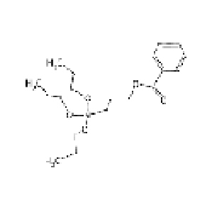 CCCO[Si](CCCOC(=O)c1ccccc1)(OCCC)OCCC